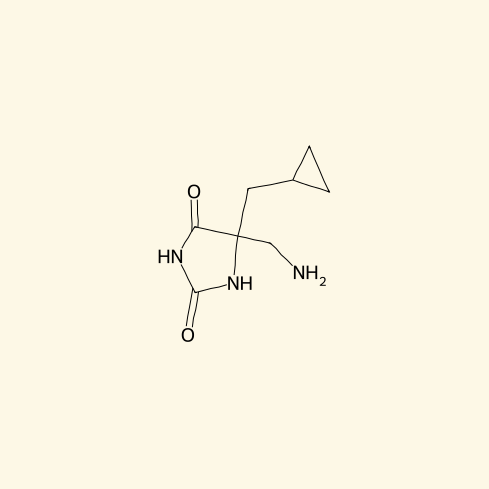 NCC1(CC2CC2)NC(=O)NC1=O